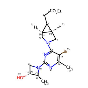 CCOC(=O)CC1[C@H]2CN(c3nc(N4C[C@@H](O)[C@@H]4C)nc(C(F)(F)F)c3Br)C[C@@H]12